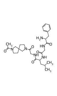 CC(=O)N1CCC2(CCN(C(=O)CNC(=O)C(CC(C)C)NC(=O)CNC(=O)C(N)Cc3ccccc3)C2)C1